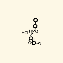 Cl.N#Cc1ccc2c(c1)[C@H]1CN(CCNC(=O)c3ccc(-c4ccccc4)cc3)C[C@@H]1CO2